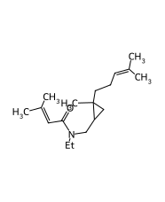 CCN(CC1CC1(C)CCC=C(C)C)C(=O)C=C(C)C